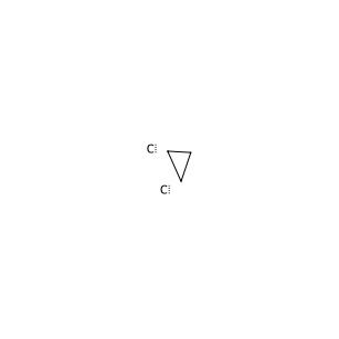 C1CC1.[C].[C]